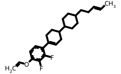 C=COc1ccc(C2=CCC(C3CCC(CC/C=C/C)CC3)CC2)c(F)c1F